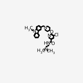 CCn1c2ccccc2c2cc(CN3CCC(Oc4ncc(C(=O)NCCN(C)C)cc4Cl)CC3)ccc21